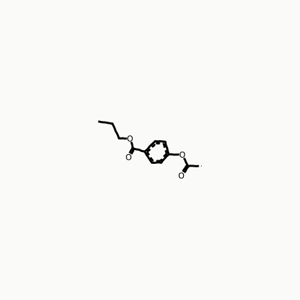 [CH2]C(=O)Oc1ccc(C(=O)OCCC)cc1